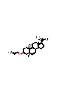 C=CCO[C@H]1CC[C@]2(C)C3CC[C@@]4(C)C(CC[C@@H]4C(=C)C)C3CC[C@H]2C1